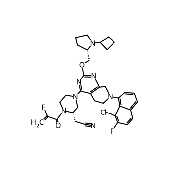 C=C(F)C(=O)N1CCN(c2nc(OC[C@@H]3CCCN3C3CCC3)nc3c2CCN(c2cccc4ccc(F)c(Cl)c24)C3)C[C@@H]1CC#N